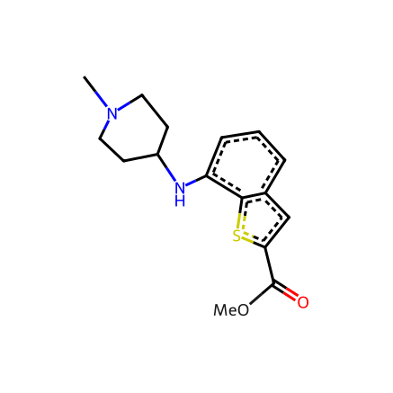 COC(=O)c1cc2cccc(NC3CCN(C)CC3)c2s1